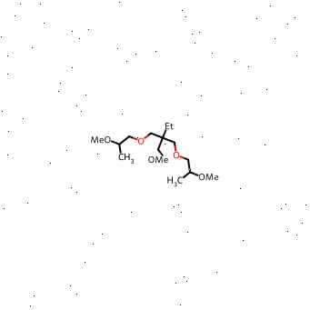 CCC(COC)(COCC(C)OC)COCC(C)OC